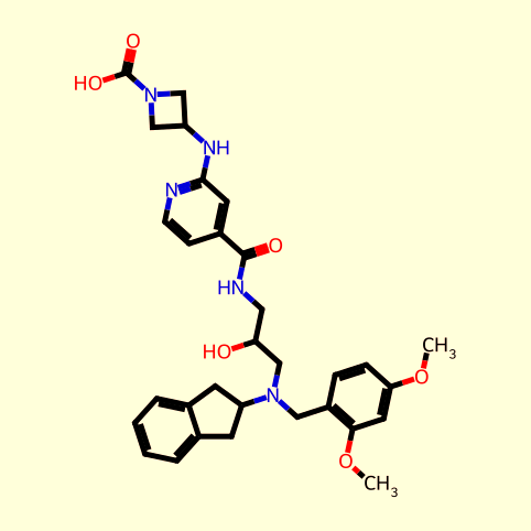 COc1ccc(CN(CC(O)CNC(=O)c2ccnc(NC3CN(C(=O)O)C3)c2)C2Cc3ccccc3C2)c(OC)c1